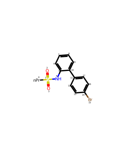 CCCS(=O)(=O)Nc1ccccc1-c1ccc(Br)cc1